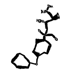 O=C(NO)[C@@H](O)CS(=O)(=O)c1ccc(Oc2ccccc2)cc1